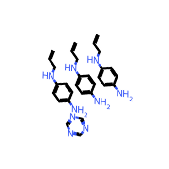 C=CCNc1ccc(N)cc1.C=CCNc1ccc(N)cc1.C=CCNc1ccc(N)cc1.c1ncncn1